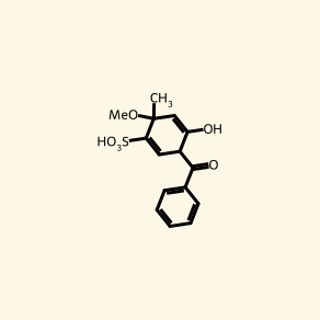 COC1(C)C=C(O)C(C(=O)c2ccccc2)C=C1S(=O)(=O)O